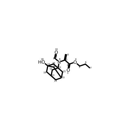 C=C(C(=O)OCCC)N(C=O)C12CC3CC(CC(O)(C3)C1)C2